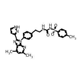 Cc1ccc(S(=O)(=O)NC(=O)NCCc2ccc(-n3c(-c4cc[nH]n4)nc4c(C)cc(C)nc43)cc2)cc1